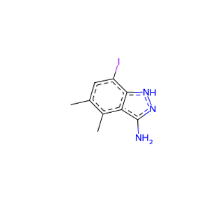 Cc1cc(I)c2[nH]nc(N)c2c1C